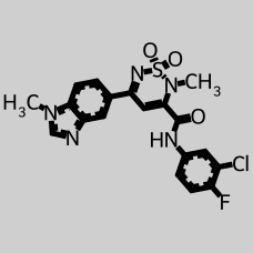 CN1C(C(=O)Nc2ccc(F)c(Cl)c2)=CC(c2ccc3c(c2)ncn3C)=NS1(=O)=O